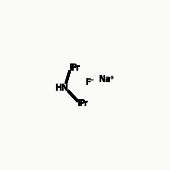 CC(C)NC(C)C.[F-].[Na+]